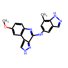 COc1ccc2nc(Nc3cc(C)c4[nH]ncc4c3)c3n[nH]cc3c2c1